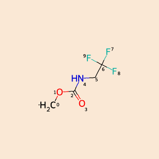 [CH2]OC(=O)NCC(F)(F)F